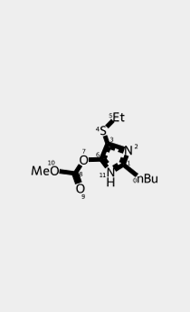 CCCCc1nc(SCC)c(OC(=O)OC)[nH]1